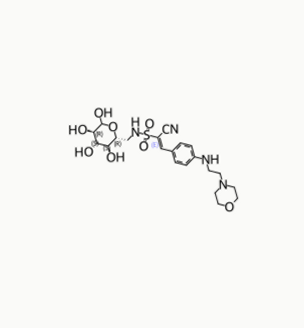 N#C/C(=C\c1ccc(NCCN2CCOCC2)cc1)S(=O)(=O)NC[C@H]1OC(O)[C@H](O)[C@@H](O)[C@@H]1O